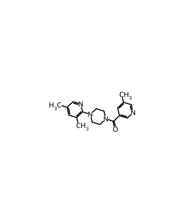 Cc1[c]ncc(C(=O)N2CCN(c3ncc(C)cc3C)CC2)c1